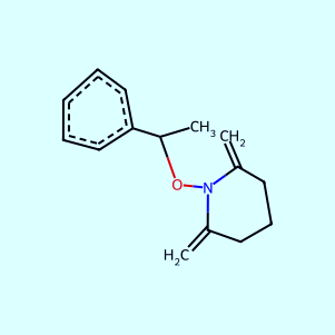 C=C1CCCC(=C)N1OC(C)c1ccccc1